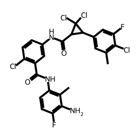 Cc1cc(C2C(C(=O)Nc3ccc(Cl)c(C(=O)Nc4ccc(F)c(N)c4C)c3)C2(Cl)Cl)cc(F)c1Cl